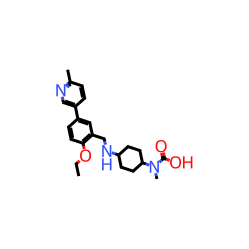 CCOc1ccc(-c2ccc(C)nc2)cc1CNC1CCC(N(C)C(=O)O)CC1